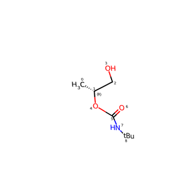 C[C@H](CO)OC(=O)NC(C)(C)C